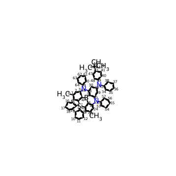 Cc1cc2c3c(c1)[Si](c1ccccc1)(c1ccccc1)c1cc(C)cc4c1B3c1c(cc(N(c3ccccc3)c3ccc(C(C)(C)C)cc3)cc1N4c1ccccc1)N2c1ccccc1